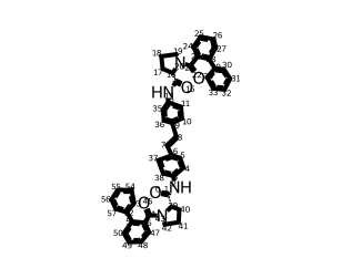 O=C(Nc1ccc(/C=C/c2ccc(NC(=O)[C@@H]3CCCN3C(=O)c3ccccc3-c3ccccc3)cc2)cc1)[C@@H]1CCCN1C(=O)c1ccccc1-c1ccccc1